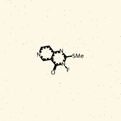 CSc1nc2ccncc2c(=O)n1F